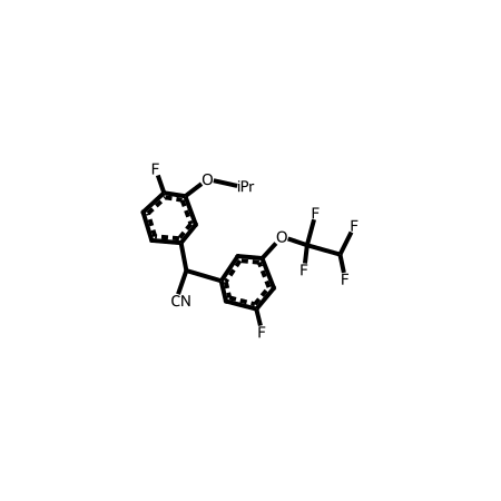 CC(C)Oc1cc(C(C#N)c2cc(F)cc(OC(F)(F)C(F)F)c2)ccc1F